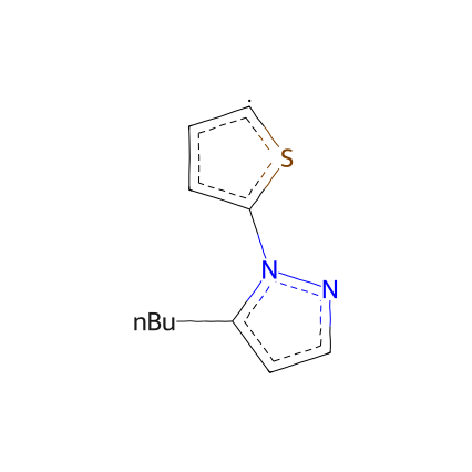 CCCCc1ccnn1-c1cc[c]s1